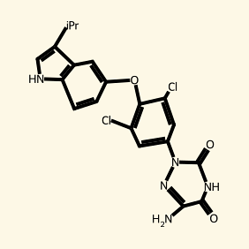 CC(C)c1c[nH]c2ccc(Oc3c(Cl)cc(-n4nc(N)c(=O)[nH]c4=O)cc3Cl)cc12